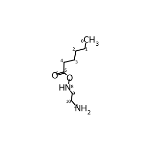 CCCCCC(=O)ONCCN